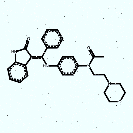 CC(=O)N(CCN1CCOCC1)c1ccc(NC(=C2C(=O)Nc3ccccc32)c2ccccc2)cc1